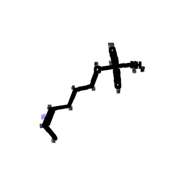 C/C=C\CCCOS(N)(=O)=O